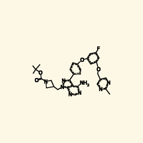 Cc1ncc(COc2cc(F)cc(Oc3ccc(-c4nn(CC5CN(C(=O)OC(C)(C)C)C5)c5ncnc(N)c45)cc3)c2)cn1